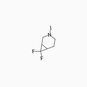 FC1(F)C2CCN(I)CC21